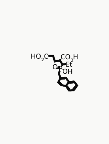 CCC(C(CCC(=O)O)C(=O)O)P(=O)(O)Cc1ccc2ccccc2c1